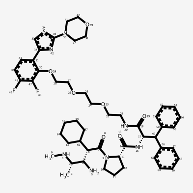 CN[C@@H](C)C(N)[C@@H](C(=O)N1CCC[C@H]1C(=O)N[C@H](C(=O)NCCOCCOCCOc1c(-c2csc(N3CCOCC3)n2)ccc(F)c1F)C(c1ccccc1)c1ccccc1)C1CCCCC1